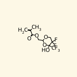 C=C(C)C(=O)OCC1OCC(F)(F)C(O)(C(F)(F)F)O1